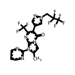 Cc1cn2c(=O)c(-c3cnn(CC(F)(F)C(F)(F)F)c3)c(C(F)(F)F)nc2n1-c1ncccn1